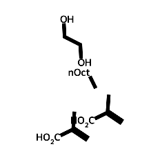 C=C(C)C(=O)O.C=C(C)C(=O)O.CCCCCCCCC.OCCO